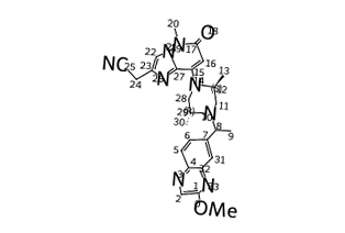 COc1cnc2ccc(C(C)N3C[C@H](C)N(c4cc(=O)n(C)n5cc(CC#N)nc45)C[C@H]3C)cc2n1